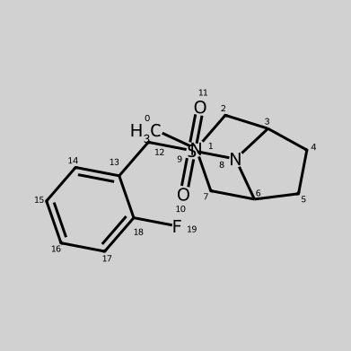 CN1CC2CCC(C1)N2S(=O)(=O)Cc1ccccc1F